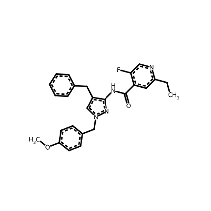 CCc1cc(C(=O)Nc2nn(Cc3ccc(OC)cc3)cc2Cc2ccccc2)c(F)cn1